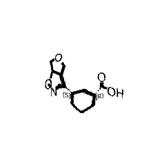 O=C(O)[C@@H]1CCC[C@H](C2=NOC3COCC23)C1